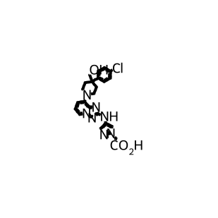 O=C(O)Cn1cc(Nc2nc3c(N4CCC(CO)(c5ccc(Cl)cc5)CC4)cccn3n2)cn1